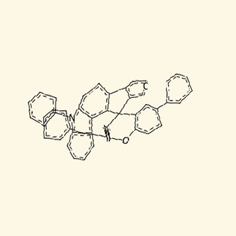 c1ccc(-c2ccc3c(c2)C2(c4cc(-c5ccccc5)ccc4O3)c3ccccc3-c3ccc4c(c32)c2ccccc2n4-c2ccccc2)cc1